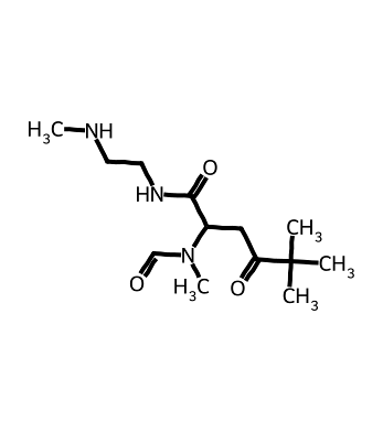 CNCCNC(=O)C(CC(=O)C(C)(C)C)N(C)C=O